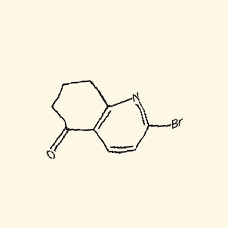 O=C1CCCc2nc(Br)ccc21